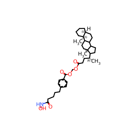 C[C@H](CCC(=O)OCOC(=O)c1ccc(CCCCC(=O)NO)cc1)C1CCC2C3CC[C@@H]4CCCC[C@]4(C)C3CC[C@@]21C